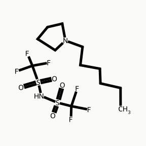 CCCCCCN1CCCC1.O=S(=O)(NS(=O)(=O)C(F)(F)F)C(F)(F)F